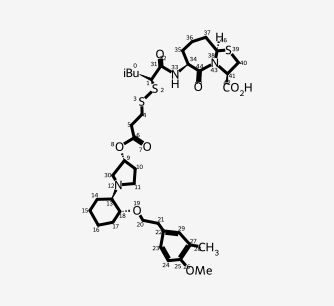 CC[C@H](C)[C@H](SSCCC(=O)O[C@@H]1CCN([C@@H]2CCCC[C@H]2OCCc2ccc(OC)c(C)c2)C1)C(=O)N[C@H]1CCC[C@H]2SC[C@@H](C(=O)O)N2C1=O